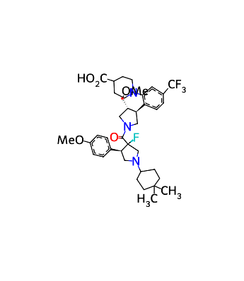 COC[C@H]1CN(C(=O)[C@]2(F)CN(C3CCC(C)(C)CC3)C[C@H]2c2ccc(OC)cc2)C[C@@H]1c1ccc(C(F)(F)F)cc1N1CCC(C(=O)O)CC1